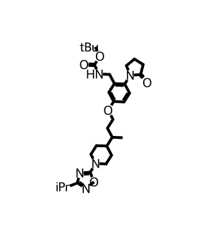 CC(C)c1noc(N2CCC(C(C)CCOc3ccc(N4CCCC4=O)c(CNC(=O)OC(C)(C)C)c3)CC2)n1